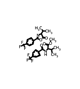 CC(C)C1N=C(c2ccc(C(F)(F)F)cc2)OC1=O.COC(=O)C(NC(=O)c1ccc(C(F)(F)F)cc1)C(C)C